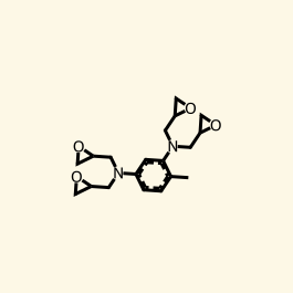 Cc1ccc(N(CC2CO2)CC2CO2)cc1N(CC1CO1)CC1CO1